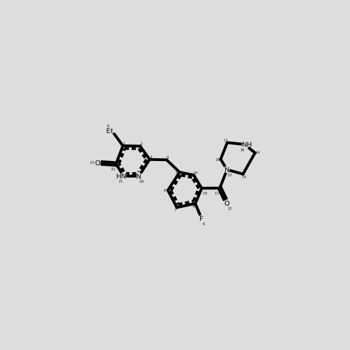 CCc1cc(Cc2ccc(F)c(C(=O)N3CCNCC3)c2)n[nH]c1=O